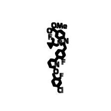 COC(=O)c1ccc2nc(Cc3ccc(-c4cccc(OCc5ccc(Cl)cc5F)n4)c(F)c3)n(CC3(CF)CC3)c2c1